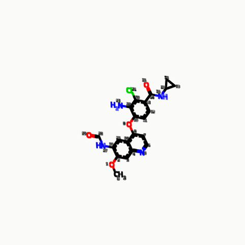 COc1cc2nccc(Oc3ccc(C(=O)NC4CC4)c(Cl)c3N)c2cc1NC=O